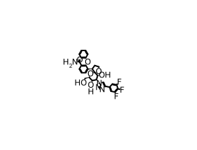 NC(=O)c1cccc([C@H]2CCO[C@]23O[C@H](CO)[C@H](O)[C@H](n2cc(-c4cc(F)c(F)c(F)c4)nn2)[C@H]3O)c1Oc1ccccc1